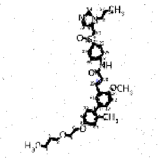 CCCCOCCOc1ccc(-c2ccc(OC)c(/C=C/C(=O)Nc3ccc([S@@+]([O-])Cc4cncn4CCC)cc3)c2)c(C)c1